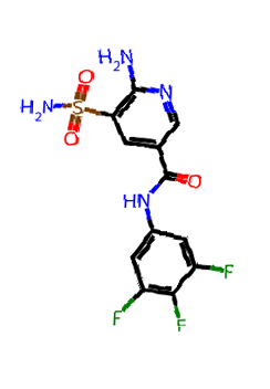 Nc1ncc(C(=O)Nc2cc(F)c(F)c(F)c2)cc1S(N)(=O)=O